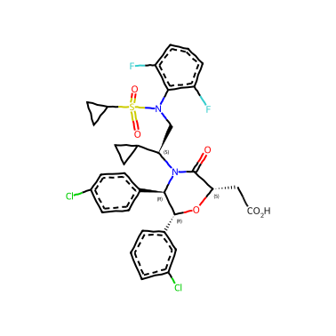 O=C(O)C[C@@H]1O[C@H](c2cccc(Cl)c2)[C@@H](c2ccc(Cl)cc2)N([C@H](CN(c2c(F)cccc2F)S(=O)(=O)C2CC2)C2CC2)C1=O